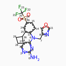 Nc1nccc(N(Cc2cocn2)c2ccc(S(=O)(=O)C(F)(F)F)cc2C2CCC2)n1